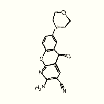 N#Cc1cc2c(=O)c3cc(N4CCOCC4)ccc3oc2nc1N